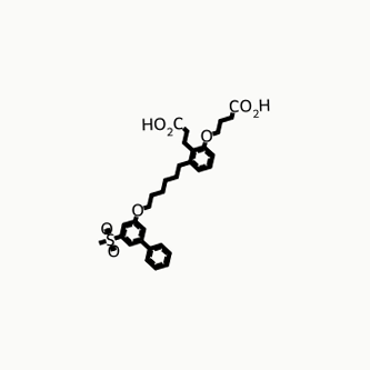 CS(=O)(=O)c1cc(OCCCCCCc2cccc(OCCCC(=O)O)c2CCC(=O)O)cc(-c2ccccc2)c1